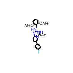 COc1cccc(OC)c1CNC(=Nc1ccc(-c2ccc(F)cc2)cn1)NOC(C)=O